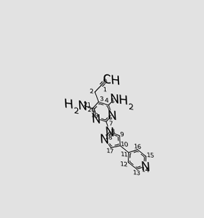 C#CCc1c(N)nc(-n2cc(-c3ccncc3)cn2)nc1N